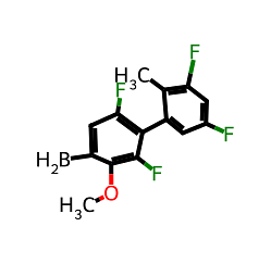 Bc1cc(F)c(-c2cc(F)cc(F)c2C)c(F)c1OC